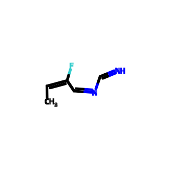 C/C=C(F)\C=N/C=N